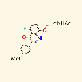 COc1ccc(-c2c[nH]c3c(OCCCNC(C)=O)ccc(F)c3c2=O)cc1